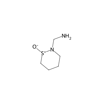 NCN1CCCC[S+]1[O-]